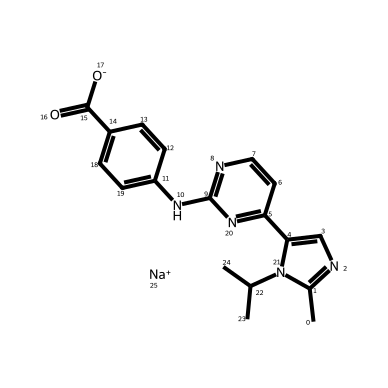 Cc1ncc(-c2ccnc(Nc3ccc(C(=O)[O-])cc3)n2)n1C(C)C.[Na+]